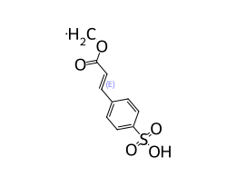 [CH2]OC(=O)/C=C/c1ccc(S(=O)(=O)O)cc1